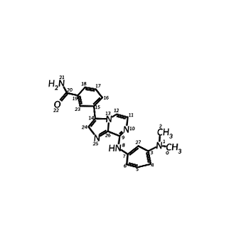 CN(C)c1cccc(Nc2nccn3c(-c4cccc(C(N)=O)c4)cnc23)c1